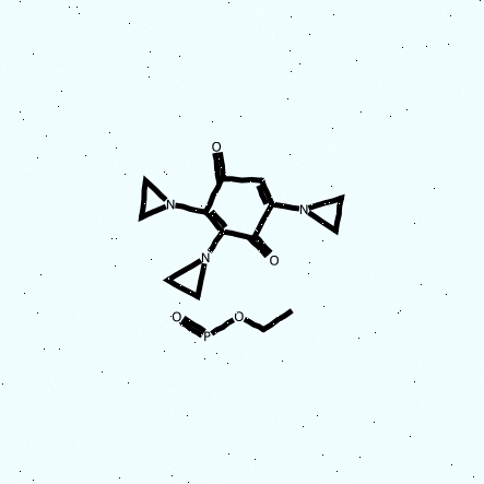 CCOP=O.O=C1C=C(N2CC2)C(=O)C(N2CC2)=C1N1CC1